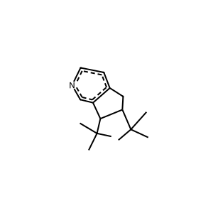 CC(C)(C)C1Cc2ccncc2C1C(C)(C)C